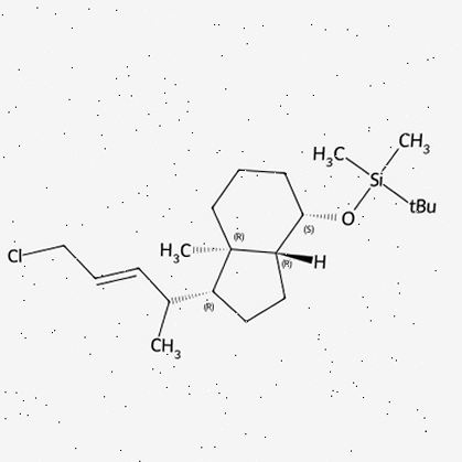 CC(C=CCCl)[C@H]1CC[C@H]2[C@@H](O[Si](C)(C)C(C)(C)C)CCC[C@]12C